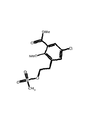 COC(=O)c1cc(Cl)cc(CCOS(C)(=O)=O)c1OC